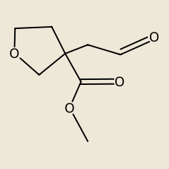 COC(=O)C1(CC=O)CCOC1